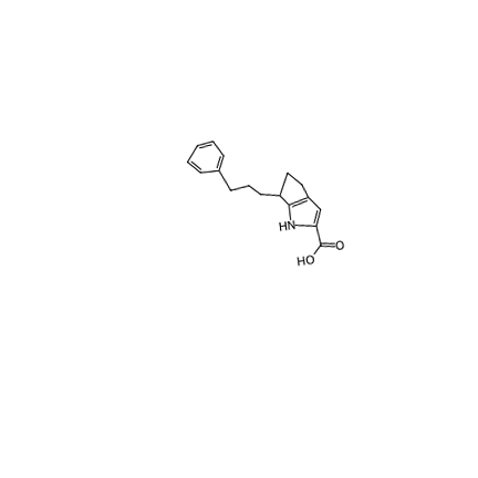 O=C(O)c1cc2c([nH]1)C(CCCc1ccccc1)CC2